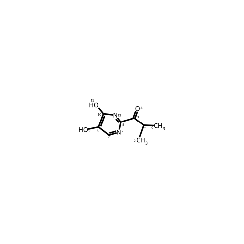 CC(C)C(=O)c1ncc(O)c(O)n1